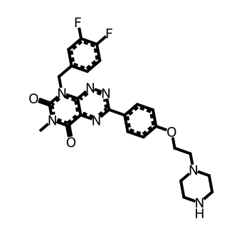 Cn1c(=O)c2nc(-c3ccc(OCCN4CCNCC4)cc3)nnc2n(Cc2ccc(F)c(F)c2)c1=O